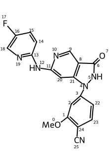 COc1cc(-n2[nH]c(=O)c3cnc(Nc4ccc(F)cn4)cc32)ccc1C#N